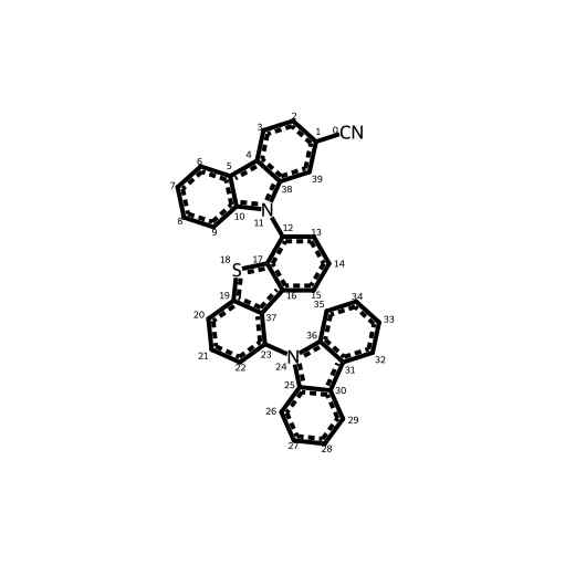 N#Cc1ccc2c3ccccc3n(-c3cccc4c3sc3cccc(-n5c6ccccc6c6ccccc65)c34)c2c1